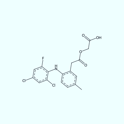 Cc1ccc(Nc2c(F)cc(Cl)cc2Cl)c(CC(=O)OCC(=O)O)c1